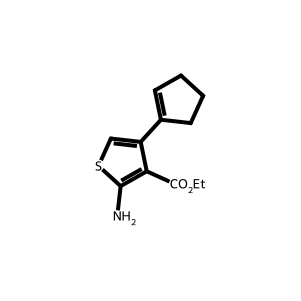 CCOC(=O)c1c(C2=CCCC2)csc1N